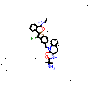 CCNC(=O)c1ccccc1-c1sc2ccc(CN3C(=O)[C@H](NC(=O)C(C)(C)N)CCc4ccccc43)cc2c1Br